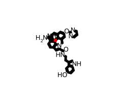 N=C(N)c1ccc2cc(C(=O)NCCc3c[nH]c4ccc(O)cc34)n(Cc3cc(Oc4ncccn4)cc4ccccc34)c2c1